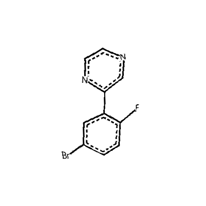 Fc1ccc(Br)cc1-c1cnccn1